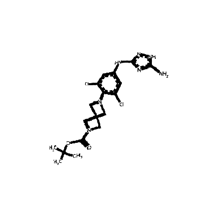 CC(C)(C)OC(=O)N1CC2(C1)CN(c1c(Cl)cc(Nc3n[nH]c(N)n3)cc1Cl)C2